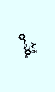 CC(C)C(=O)Oc1c(O)cc(Br)cc1C=NCCc1ccccc1